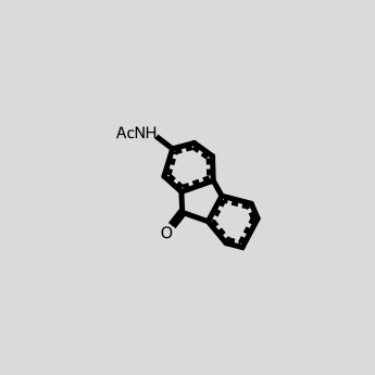 CC(=O)Nc1ccc2c(c1)C(=O)c1ccccc1-2